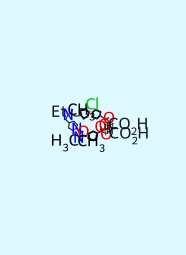 CCN(CC1CCN(C(=O)N(C)C)CC1)C(C)Cc1cccc(CCl)c1.O=C(O[C@@H](C(=O)O)[C@@H](OC(=O)c1ccccc1)C(=O)O)c1ccccc1